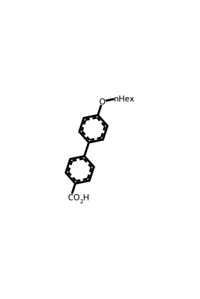 CCCCCCOc1ccc(-c2ccc(C(=O)O)cc2)cc1